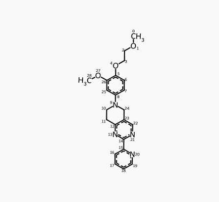 COCCOc1ccc(N2CCc3nc(-c4ccccn4)ncc3C2)cc1OC